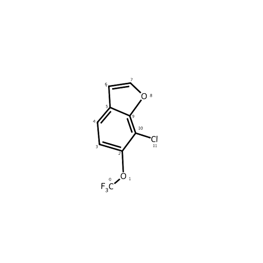 FC(F)(F)Oc1ccc2[c]coc2c1Cl